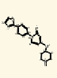 O=c1cc(OC2CCNCC2)ccn1-c1ccc(-c2ncco2)cc1